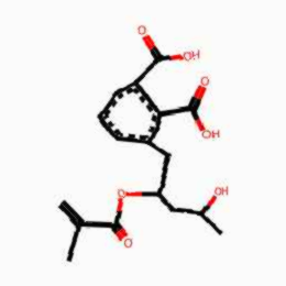 C=C(C)C(=O)OC(Cc1cccc(C(=O)O)c1C(=O)O)CC(C)O